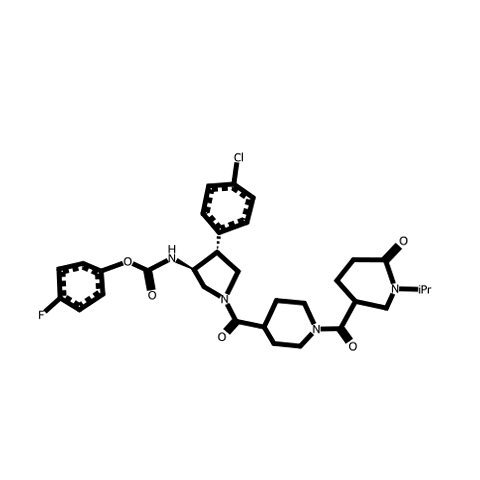 CC(C)N1CC(C(=O)N2CCC(C(=O)N3C[C@@H](NC(=O)Oc4ccc(F)cc4)[C@H](c4ccc(Cl)cc4)C3)CC2)CCC1=O